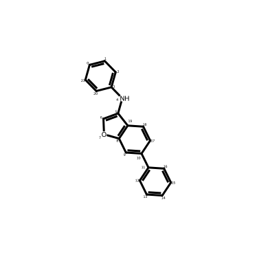 c1ccc(Nc2coc3cc(-c4ccccc4)ccc23)cc1